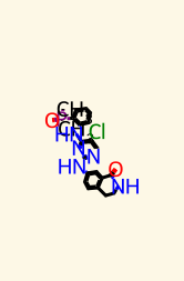 CP(C)(=O)c1ccccc1Nc1nc(Nc2ccc3c(c2)C(=O)NCC3)ncc1Cl